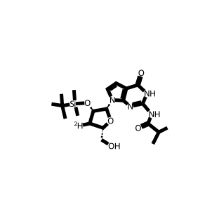 [2H]C1[C@@H](CO)O[C@@H](n2ccc3c(=O)[nH]c(NC(=O)C(C)C)nc32)[C@H]1O[Si](C)(C)C(C)(C)C